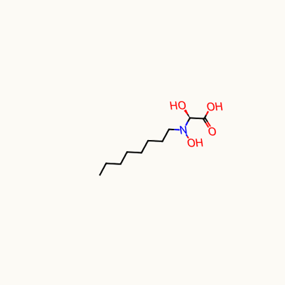 CCCCCCCCN(O)[C@@H](O)C(=O)O